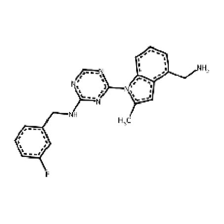 Cc1cc2c(CN)cccc2n1-c1ncnc(NCc2cccc(F)c2)n1